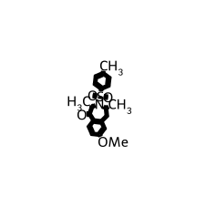 COc1ccc2c(c1)CC(C)N(S(=O)(=O)c1ccc(C)cc1)C(C)C2=O